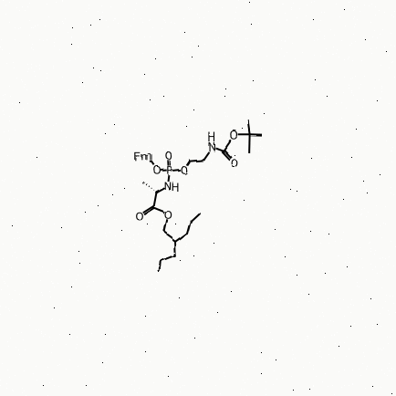 CCCC(CCC)COC(=O)[C@H](C)NP(=O)([O][Fm])OCCNC(=O)OC(C)(C)C